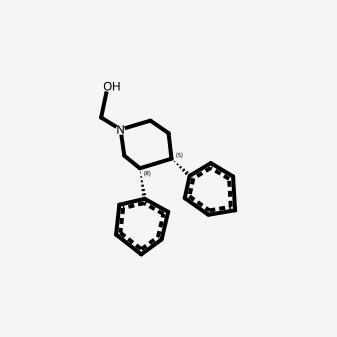 OCN1CC[C@H](c2ccccc2)[C@H](c2ccccc2)C1